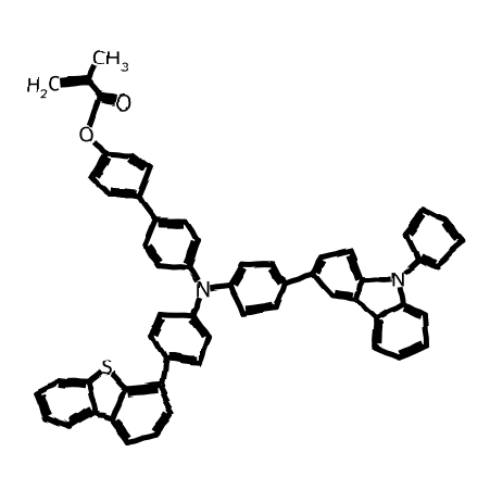 C=C(C)C(=O)Oc1ccc(-c2ccc(N(c3ccc(-c4ccc5c(c4)c4ccccc4n5-c4ccccc4)cc3)c3ccc(-c4cccc5c4sc4ccccc45)cc3)cc2)cc1